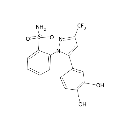 NS(=O)(=O)c1ccccc1-n1nc(C(F)(F)F)cc1-c1ccc(O)c(O)c1